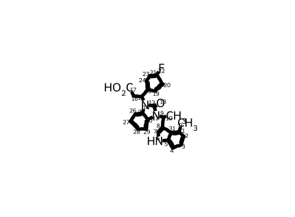 Cc1cccc2[nH]cc(C(C)n3c(=O)n(C(CC(=O)O)c4ccc(F)cc4)c4ccccc43)c12